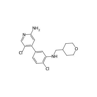 Nc1cc(-c2ccc(Cl)c(NCC3CCOCC3)c2)c(Cl)cn1